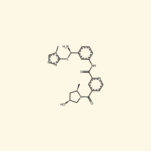 C[C@@H]1C[C@H](O)CN1C(=O)c1ccnc(C(=O)Nc2cccc([C@H](N)Sc3nncn3C)c2)c1